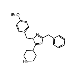 CC(C)COc1ccc(Cn2nc(Cc3ccccc3)cc2C2CCNCC2)cc1